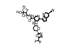 CC(C)(O)C(F)CNC(=O)c1cnc(-c2ccc3cc(C#N)cnn23)cc1N[C@H]1CC[C@H](c2nnc(C(F)F)o2)OC1